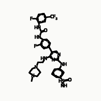 CN1CCN(CCNc2nc(Nc3cccc([SH](=N)=O)c3)ncc2-c2ccc(NC(=O)Nc3cc(C(F)(F)F)ccc3F)c(F)c2)CC1